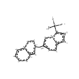 FC(F)(F)c1nnc2ccc(-c3ccc4ccccc4c3)cn12